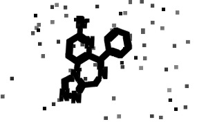 Brc1ccc2c(n1)C(c1ccccc1)=NCc1nncn1-2